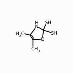 CC1=C(C)OC(S)(S)N1